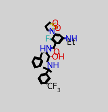 CCNc1cc(C(=O)N[C@@H](Cc2ccccc2)[C@H](O)CNC(C)(C)c2cccc(C(F)(F)F)c2)c(F)c(N2CCCS2(=O)=O)c1